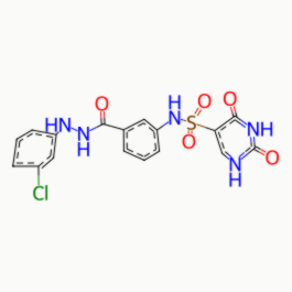 O=C(NNc1cccc(Cl)c1)c1cccc(NS(=O)(=O)c2c[nH]c(=O)[nH]c2=O)c1